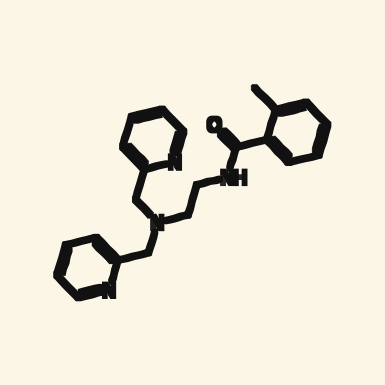 Cc1ccccc1C(=O)NCCN(Cc1ccccn1)Cc1ccccn1